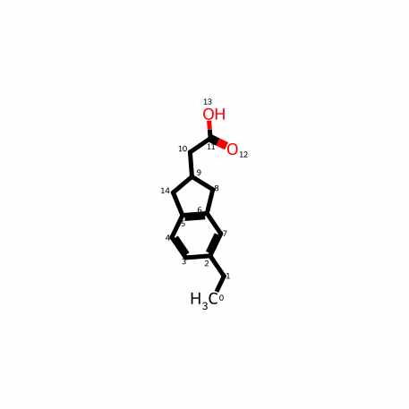 CCc1ccc2c(c1)CC(CC(=O)O)C2